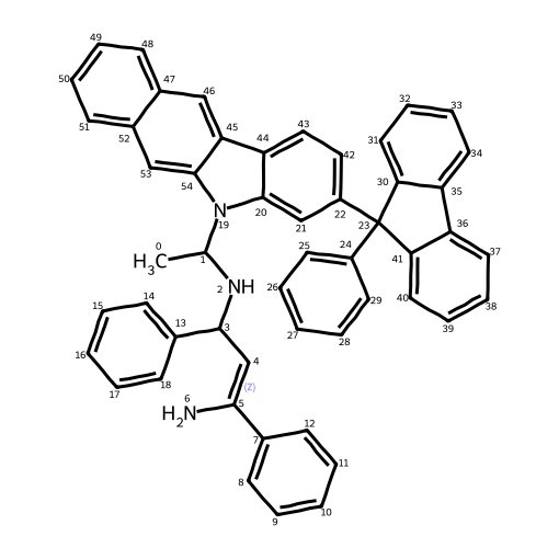 CC(NC(/C=C(\N)c1ccccc1)c1ccccc1)n1c2cc(C3(c4ccccc4)c4ccccc4-c4ccccc43)ccc2c2cc3ccccc3cc21